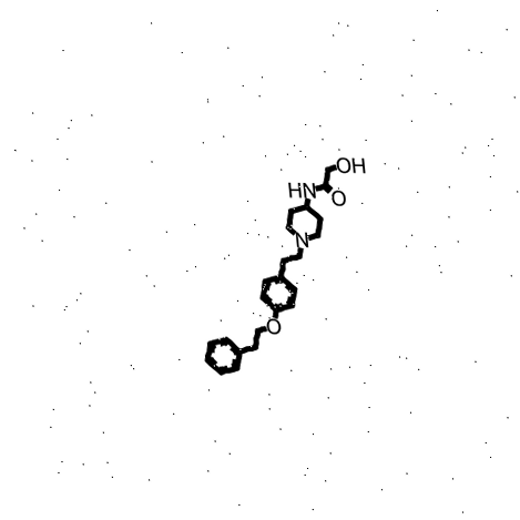 O=C(CO)NC1CCN(CCc2ccc(OCCc3ccccc3)cc2)CC1